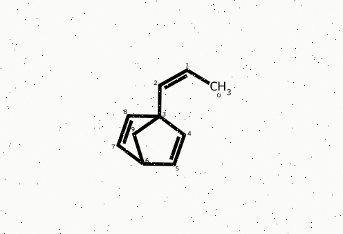 C/C=C\C12C=CC(C=C1)C2